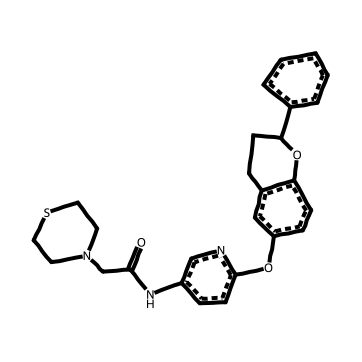 O=C(CN1CCSCC1)Nc1ccc(Oc2ccc3c(c2)CCC(c2ccccc2)O3)nc1